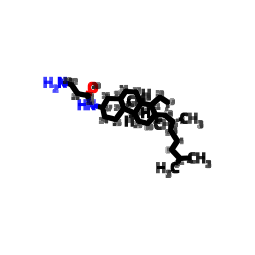 CC(C)CCC[C@@H](C)[C@H]1CC[C@H]2[C@@H]3CCC4CC(NC(=O)CCN)CC[C@]4(C)[C@H]3CC[C@]12C